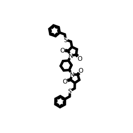 O=C1CC(CSCc2ccccc2)C(=O)N1C1CCCC(N2C(=O)CC(CSCc3ccccc3)C2=O)C1